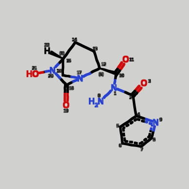 NN(C(=O)c1ccccn1)C(=O)[C@@H]1CC[C@@H]2CN1C(=O)N2O